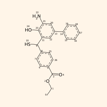 CCOC(=O)c1ccc(C(S)c2cc(-c3ccccc3)cc(N)c2O)cc1